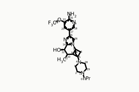 CCCN1CCN(C23CC4(C2)C3C(C)C(O)c2nc(-c3cnc(N)c(OC(F)(F)F)c3)cn24)CC1